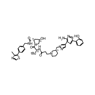 Cc1ncsc1-c1ccc(CNC(=O)[C@@H]2C[C@@H](O)CN2C(=O)[C@@H](NC(=O)CCN2CCC[C@H](Cn3cc(-c4cc(-c5ccccc5O)nnc4N)cn3)C2)C(C)(C)C)cc1